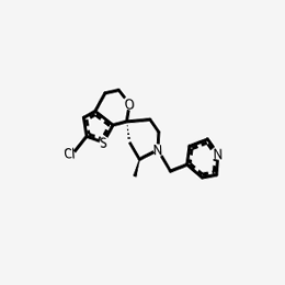 C[C@H]1C[C@@]2(CCN1Cc1ccncc1)OCCc1cc(Cl)sc12